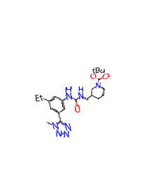 CCc1cc(NC(=O)NCC2CCCN(C(=O)OC(C)(C)C)C2)cc(-c2nnnn2C)c1